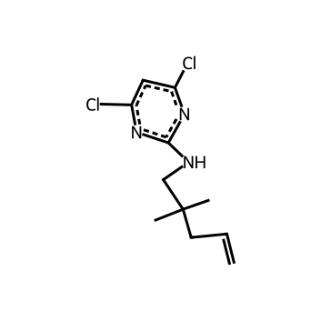 C=CCC(C)(C)CNc1nc(Cl)cc(Cl)n1